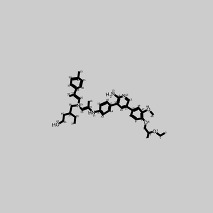 CCOC(C)COc1ccc(-c2cnc(N)c(-c3ccc(N/C(C)=C/N(/C=C(\C)c4ccc(C)cc4)CC(CC)CCO)cc3)c2)cc1OC